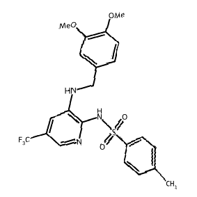 COc1ccc(CNc2cc(C(F)(F)F)cnc2NS(=O)(=O)c2ccc(C)cc2)cc1OC